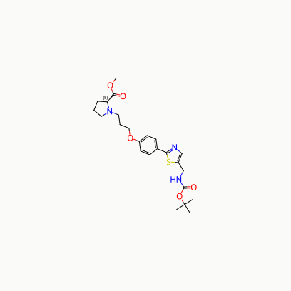 COC(=O)[C@@H]1CCCN1CCCOc1ccc(-c2ncc(CNC(=O)OC(C)(C)C)s2)cc1